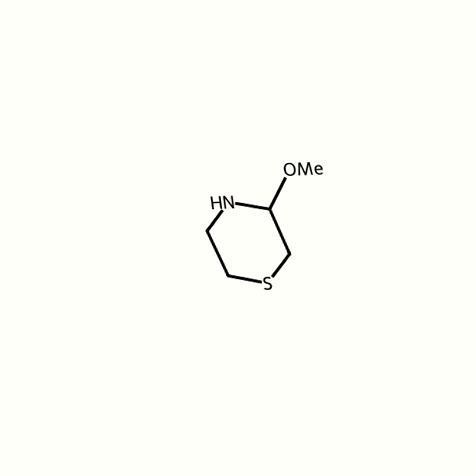 COC1CSCCN1